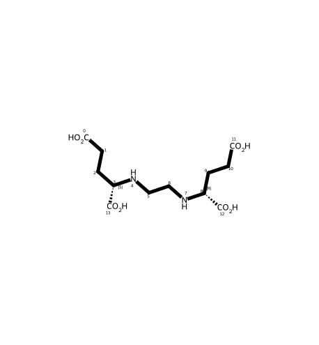 O=C(O)CC[C@H](NCCN[C@H](CCC(=O)O)C(=O)O)C(=O)O